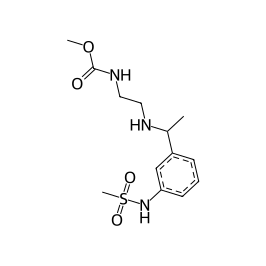 COC(=O)NCCNC(C)c1cccc(NS(C)(=O)=O)c1